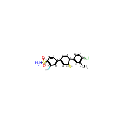 Cc1cc(C2C=CC(c3ccc(S(N)(=O)=O)c(F)c3)=CC2=S)ccc1Cl